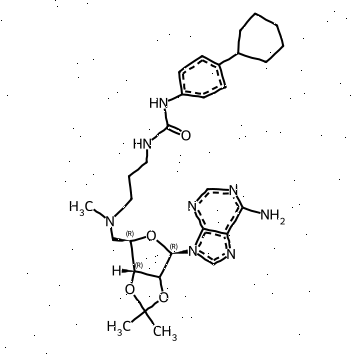 CN(CCCNC(=O)Nc1ccc(C2CCCCC2)cc1)C[C@H]1O[C@@H](n2cnc3c(N)ncnc32)C2OC(C)(C)O[C@@H]21